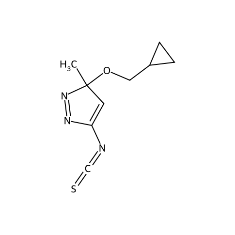 CC1(OCC2CC2)C=C(N=C=S)N=N1